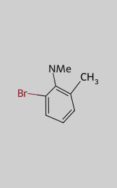 CNc1c(C)cccc1Br